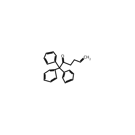 C=CCCC(=O)C(c1ccccc1)(c1ccccc1)c1ccccc1